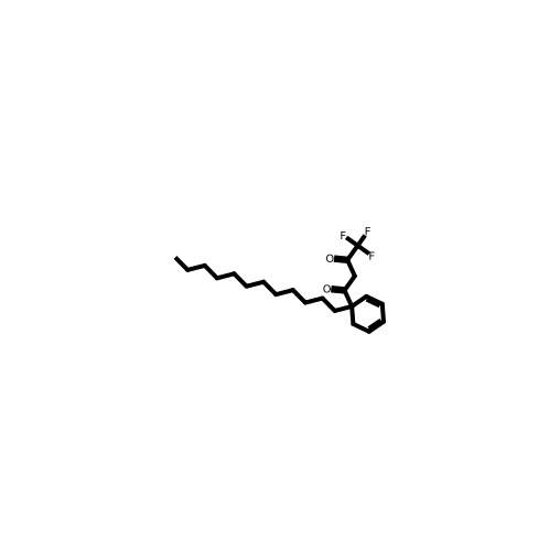 CCCCCCCCCCCCC1(C(=O)CC(=O)C(F)(F)F)C=CC=CC1